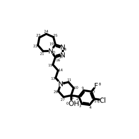 OC1(c2ccc(Cl)c(F)c2)CCN(CCCc2nnc3n2CCCCC3)CC1